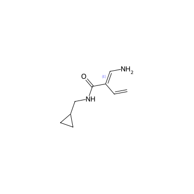 C=C/C(=C\N)C(=O)NCC1CC1